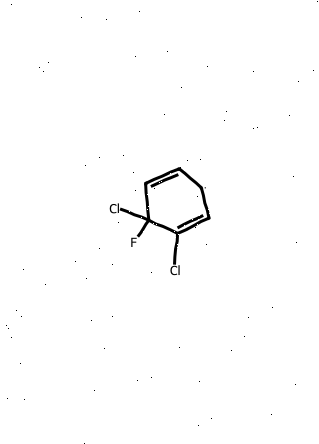 FC1(Cl)C=C[CH]C=C1Cl